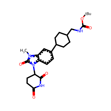 Cn1c(=O)n(C2CCC(=O)NC2=O)c2ccc(C3CCC(CNC(=O)OC(C)(C)C)CC3)cc21